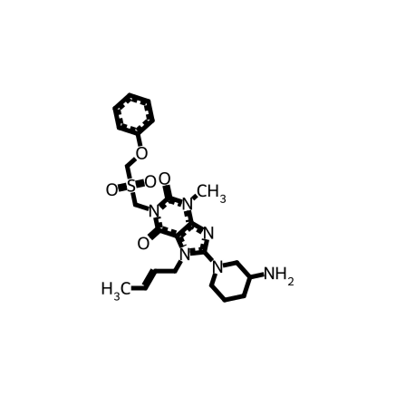 CC=CCn1c(N2CCCC(N)C2)nc2c1c(=O)n(CS(=O)(=O)COc1ccccc1)c(=O)n2C